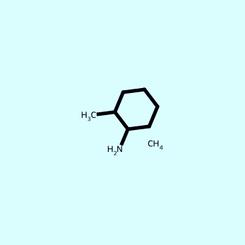 C.CC1CCCCC1N